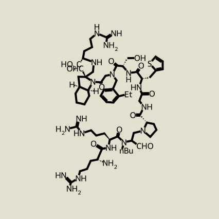 CCCCN(C(=O)[C@H](CCCNC(=N)N)NC(=O)[C@H](N)CCCNC(=N)N)C(C=O)CN1CCC[C@H]1C(=O)NCC(=O)N[C@@H](Cc1cccs1)C(=O)N[C@@H](CO)C(=O)N(CC(=O)N1[C@H]2CCCC[C@H]2C[C@]1(C=O)CN[C@@H](CCCNC(=N)N)C(=O)O)Cc1ccccc1CC